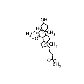 CC[C@H]1[C@@H](O)C2C3CCC(CCCC(=O)OC)[C@@]3(C)CCC2[C@@]2(C)CC[C@@H](O)C[C@@H]12